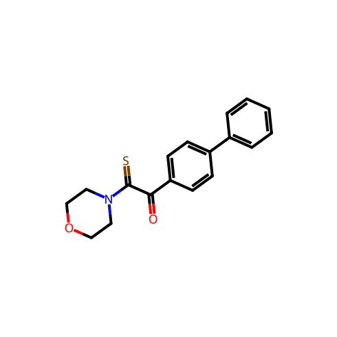 O=C(C(=S)N1CCOCC1)c1ccc(-c2ccccc2)cc1